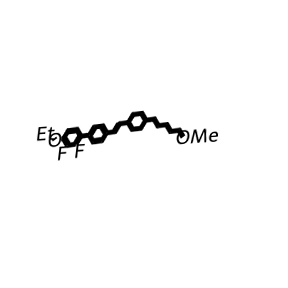 CCOc1ccc(-c2ccc(/C=C/C3CCC(CCCCCOC)CC3)cc2)c(F)c1F